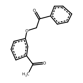 CC(=O)c1cccc(OCC(=O)c2ccccc2)c1